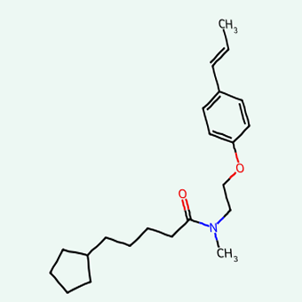 C/C=C/c1ccc(OCCN(C)C(=O)CCCCC2CCCC2)cc1